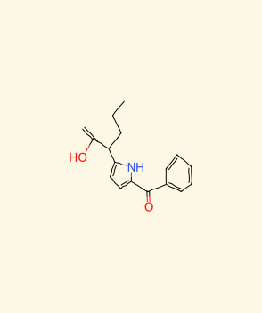 C=C(O)C(CCC)c1ccc(C(=O)c2ccccc2)[nH]1